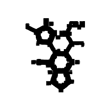 Cc1cc(-n2c(C(C)NC(=O)O)nc3cccn3c2=O)n[nH]1